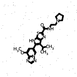 COc1cc(-c2[nH]c3sc(C(=O)NCCN4CCCC4)nc3c2C(C)C)cn2ncnc12